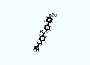 CCCCc1ccc(C2CCC(OC(=O)C3CCC(CC/C=C/C#N)CC3)CC2)cc1